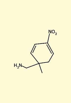 CC1(CN)C=CC([N+](=O)[O-])=CC1